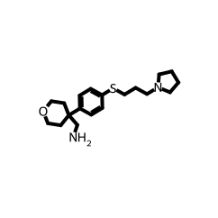 NCC1(c2ccc(SCCCN3CCCC3)cc2)CCOCC1